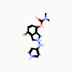 CN(C)C(=O)Oc1ccc(Cl)c2c1CN(Nc1ccncc1)C2